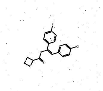 O=C(O/C(=C/c1ccc(Cl)cc1)c1ccc(F)cc1)C1CCO1